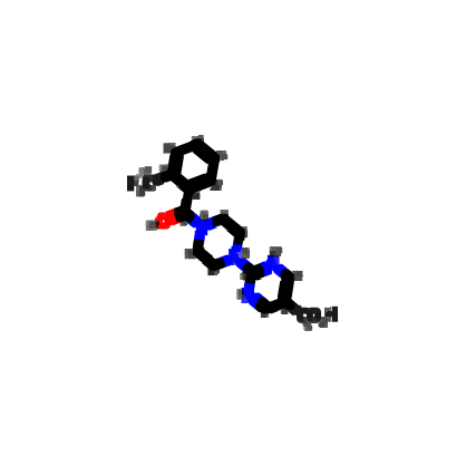 O=C(O)c1cnc(N2CCN(C(=O)c3ccccc3C(F)(F)F)CC2)nc1